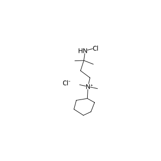 CC(C)(CC[N+](C)(C)C1CCCCC1)NCl.[Cl-]